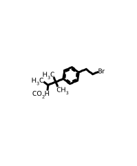 CC(C(=O)O)C(C)(C)c1ccc(CCBr)cc1